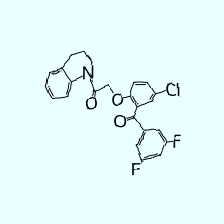 O=C(c1cc(F)cc(F)c1)c1cc(Cl)ccc1OCC(=O)N1CCCc2ccccc21